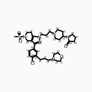 CS(=O)(=O)N1CCc2c(c(-c3ccc(Cl)c(CCCN4CCOCC4)c3)nn2CCCN2CCC(N3CCCC3=O)CC2)C1